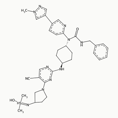 Cn1cc(-c2ccc(N(C(=O)NCc3ccccc3)[C@H]3CC[C@H](Nc4ncc(C#N)c(N5CCC(N=[SH](C)(C)O)C5)n4)CC3)nc2)cn1